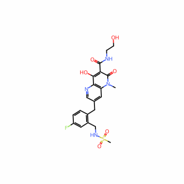 Cn1c(=O)c(C(=O)NCCO)c(O)c2ncc(Cc3ccc(F)cc3CNS(C)(=O)=O)cc21